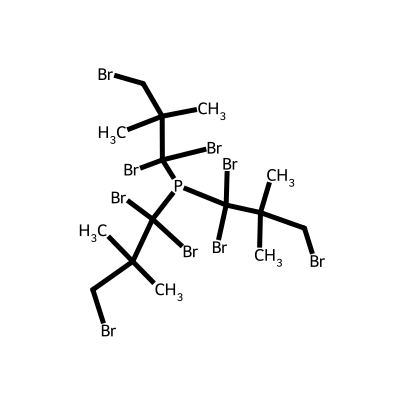 CC(C)(CBr)C(Br)(Br)P(C(Br)(Br)C(C)(C)CBr)C(Br)(Br)C(C)(C)CBr